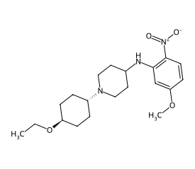 CCO[C@H]1CC[C@H](N2CCC(Nc3cc(OC)ccc3[N+](=O)[O-])CC2)CC1